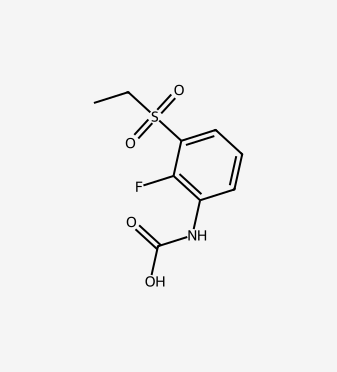 CCS(=O)(=O)c1cccc(NC(=O)O)c1F